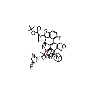 CN1C[C@H](F)C[C@H]1COc1nc(N2C3CC2CN(C(=O)OC(C)(C)C)C3)c2c3c(c(-c4c(F)ccc5sc(NC(=O)OC(C)(C)C)c(C#N)c45)c(F)c2n1)COC3